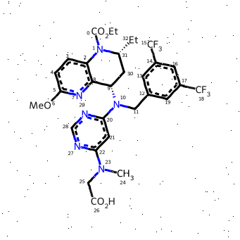 CCOC(=O)N1c2ccc(OC)nc2[C@@H](N(Cc2cc(C(F)(F)F)cc(C(F)(F)F)c2)c2cc(N(C)CC(=O)O)ncn2)C[C@H]1CC